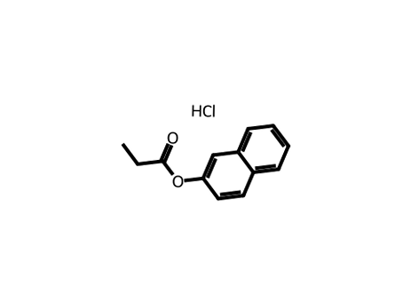 CCC(=O)Oc1ccc2ccccc2c1.Cl